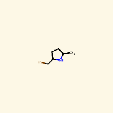 CC1CCC(CS)N1